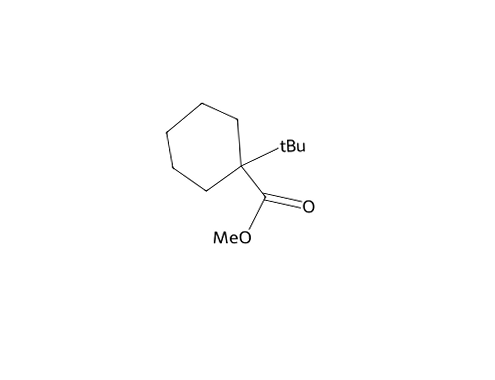 COC(=O)C1(C(C)(C)C)CCCCC1